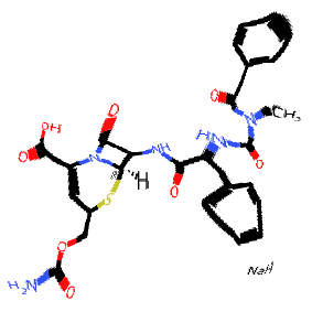 CN(C(=O)NC(C(=O)NC1C(=O)N2C(C(=O)O)=CC(COC(N)=O)S[C@H]12)c1ccccc1)C(=O)c1ccccc1.[NaH]